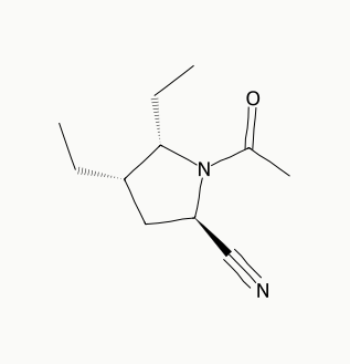 CC[C@H]1C[C@H](C#N)N(C(C)=O)[C@H]1CC